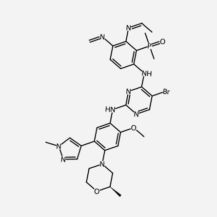 C=Nc1ccc(Nc2nc(Nc3cc(-c4cnn(C)c4)c(N4CCO[C@H](C)C4)cc3OC)ncc2Br)c(P(C)(C)=O)c1/N=C\C